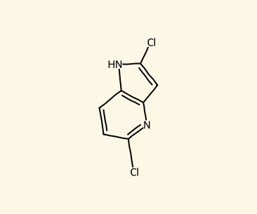 Clc1ccc2[nH]c(Cl)cc2n1